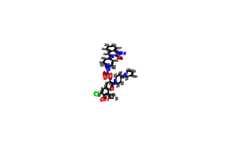 O=C(O[C@H](Cc1cc(Cl)c(O)c(C(F)(F)F)c1)C(=O)N1CCC(N2CCCC2)CC1)N1CCC(N2Cc3ccccc3NC2=O)CC1